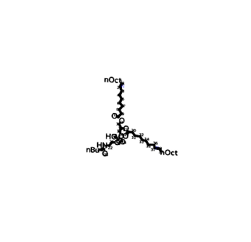 CCCCCCCC/C=C/CCCCCCCC(=O)OCC(COP(=O)(O)OCCNC(=O)CCCC)OC(=O)CCCCCCC/C=C/CCCCCCCC